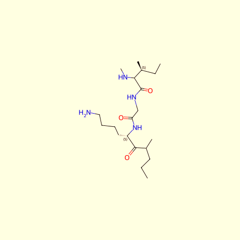 CCCC(C)C(=O)[C@H](CCCCN)NC(=O)CNC(=O)C(NC)[C@@H](C)CC